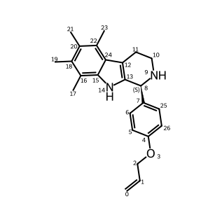 C=CCOc1ccc([C@@H]2NCCc3c2[nH]c2c(C)c(C)c(C)c(C)c32)cc1